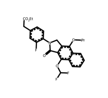 CCOC(=O)Cc1ccc(N2Cc3c(c(OC(F)F)c4ccccc4c3OC(C)C)C2=O)c(F)c1